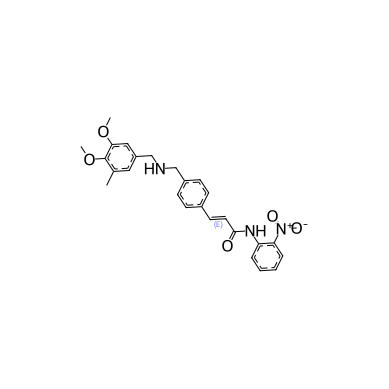 COc1cc(CNCc2ccc(/C=C/C(=O)Nc3ccccc3[N+](=O)[O-])cc2)cc(C)c1OC